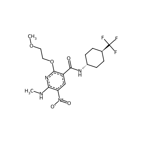 CNc1nc(OCCOC)c(C(=O)N[C@H]2CC[C@H](C(F)(F)F)CC2)cc1[N+](=O)[O-]